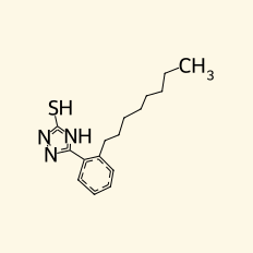 CCCCCCCCc1ccccc1-c1nnc(S)[nH]1